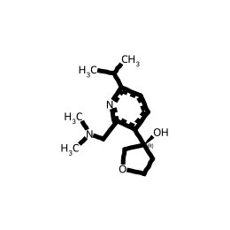 CC(C)c1ccc([C@]2(O)CCOC2)c(CN(C)C)n1